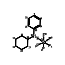 [F][Sb-]([F])([F])([F])([F])[F].c1ccc([I+]C2CCCCC2)cc1